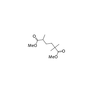 COC(=O)C(C)CCC(C)(C)C(=O)OC